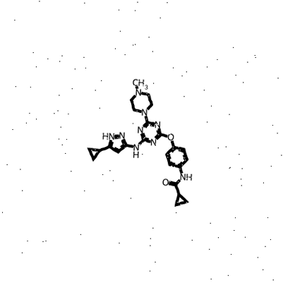 CN1CCN(c2nc(Nc3cc(C4CC4)[nH]n3)nc(Oc3ccc(NC(=O)C4CC4)cc3)n2)CC1